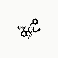 COc1cccc(C(N)=O)c1C(CSCc1ccccc1)C(=O)NCC#N